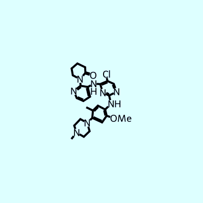 COc1cc(N2CCN(C)CC2)c(C)cc1Nc1ncc(Cl)c(Nc2cccnc2N2CCCCC2=O)n1